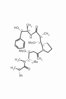 C=C(C[C@@H](OC)[C@H]([C@@H](C)CC)N(C)C(=O)[C@@H](C)C(C)C)N1CCC[C@H]1[C@H](OC)[C@@H](C)C(=O)N[C@H](C)[C@@H](O)c1ccccc1